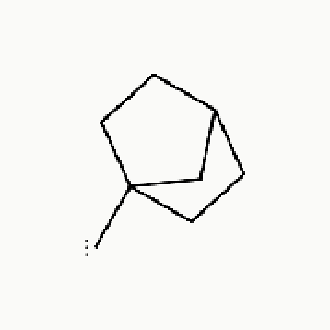 [C]C12CCC(CC1)C2